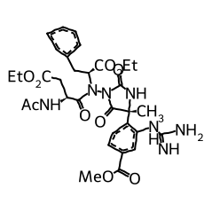 CCOC(=O)C[C@H](NC(C)=O)C(=O)N([C@@H](Cc1ccccc1)C(=O)OCC)N1C(=O)N[C@](C)(c2ccc(C(=O)OC)cc2NC(=N)N)C1=O